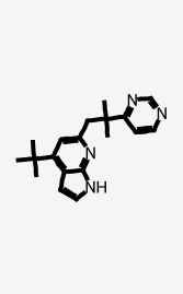 CC(C)(C)c1cc(CC(C)(C)c2ccncn2)nc2[nH]ccc12